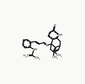 C=C(C)Nc1ccccc1/C=C/C=N/C12CC(C)=CC(Cc3[nH]c(=O)ccc31)/C2=C\C